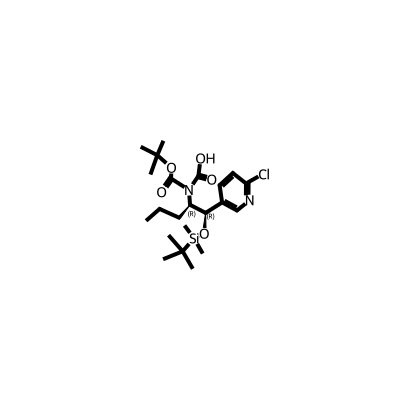 CCC[C@H]([C@H](O[Si](C)(C)C(C)(C)C)c1ccc(Cl)nc1)N(C(=O)O)C(=O)OC(C)(C)C